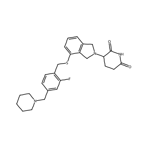 O=C1CCC(N2Cc3cccc(SCc4ccc(CN5CCCCC5)cc4F)c3C2)C(=O)N1